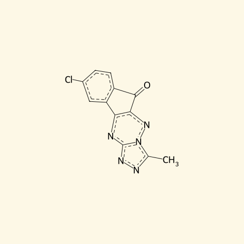 Cc1nnc2nc3c(nn12)C(=O)c1ccc(Cl)cc1-3